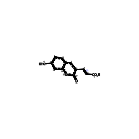 O=Cc1ccc2cc(/C=C/C(=O)O)c(=O)oc2c1